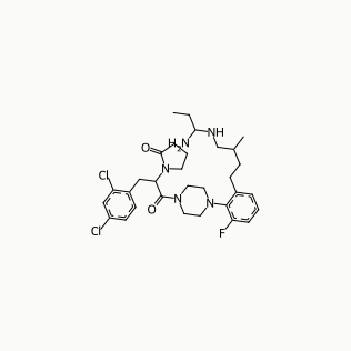 CCC(N)NCC(C)CCc1cccc(F)c1N1CCN(C(=O)C(Cc2ccc(Cl)cc2Cl)N2CCCC2=O)CC1